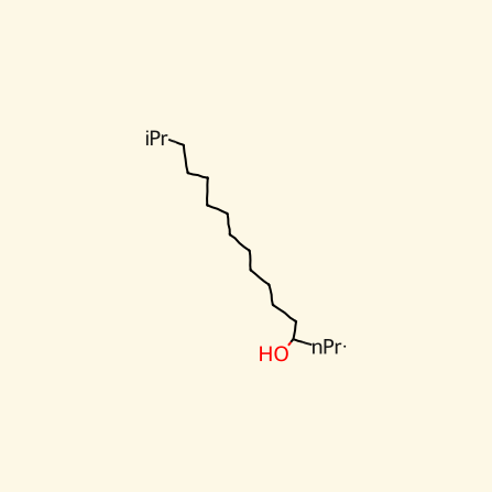 CC[CH]C(O)CCCCCCCCCCCC(C)C